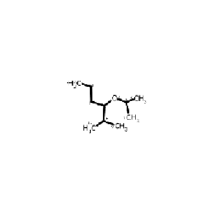 [CH2]CCC(OC(C)C)C(C)C